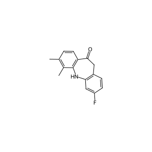 Cc1ccc2c(c1C)Nc1cc(F)ccc1CC2=O